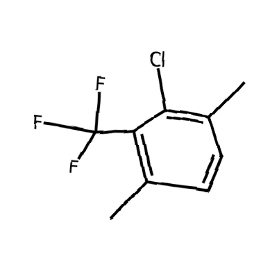 Cc1ccc(C)c(C(F)(F)F)c1Cl